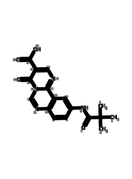 CC(C)(C)C(=O)Nc1ccc2ncn3c(=O)c(C(=O)O)cnc3c2c1